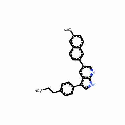 COc1ccc2cc(-c3cnc4[nH]cc(-c5ccc(CCC(=O)O)cc5)c4c3)ccc2c1